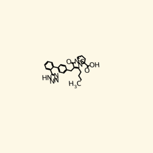 CCCCc1c(Cc2ccc(-c3ccccc3-c3nnn[nH]3)cc2)c(=O)n2n1C1(C(=O)O)CCC2CC1